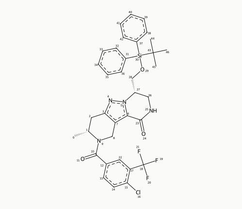 C[C@@H]1Cc2nn3c(c2CN1C(=O)c1ccc(Cl)c(C(F)(F)F)c1)C(=O)NC[C@H]3CO[Si](c1ccccc1)(c1ccccc1)C(C)(C)C